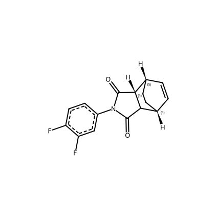 O=C1C2[C@H]3C=C[C@H](CC3)[C@H]2C(=O)N1c1ccc(F)c(F)c1